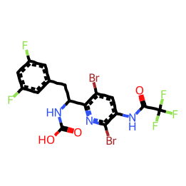 O=C(O)NC(Cc1cc(F)cc(F)c1)c1nc(Br)c(NC(=O)C(F)(F)F)cc1Br